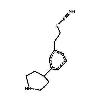 N=BOCCc1cccc(C2CCNCC2)c1